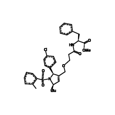 COC(=O)[C@H](Cc1ccccc1)NC(=O)CCOCC1=C[C@@H](C(C)(C)C)N(S(=O)(=O)c2ccccc2C)[C@H]1c1ccc(Cl)cc1